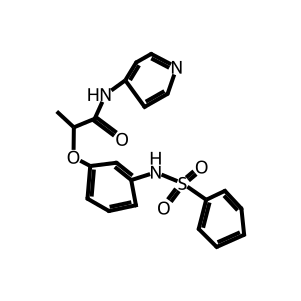 CC(Oc1cccc(NS(=O)(=O)c2ccccc2)c1)C(=O)Nc1ccncc1